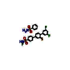 NS(=O)(=O)c1ccccc1.O=S(=O)(NF)c1ccc(C2=CC(=S)C(c3cc(F)cc(F)c3)C=C2)cc1